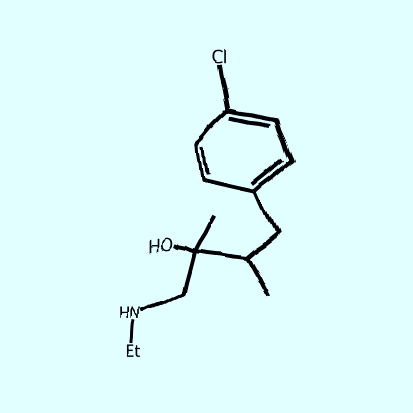 CCNCC(C)(O)C(C)Cc1ccc(Cl)cc1